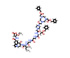 CC[C@H](C)[C@H](NC(=O)CCNC(=O)CCNC(=O)[C@@H](CCC(=O)OCc1ccccc1)NC(=O)CN1CCN(C(=O)CN2CCN(CC(=O)OCc3ccccc3)CCN(CC(=O)OCc3ccccc3)CC2)CC1)C(=O)N[C@H]1CCn2ccc3c2C(=C[C@@H](C(=O)N[C@H]2CC(=O)O[C@H]2OC)C3)C1=O